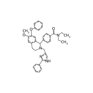 CCN(CC)C(=O)c1ccc(C2c3cc(Oc4ccccc4)c(OC)cc3CCN2Cc2c[nH]c(-c3ccccc3)n2)cc1